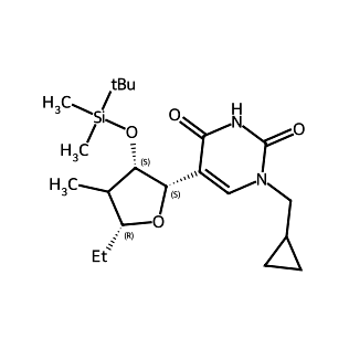 CC[C@H]1O[C@@H](c2cn(CC3CC3)c(=O)[nH]c2=O)[C@@H](O[Si](C)(C)C(C)(C)C)C1C